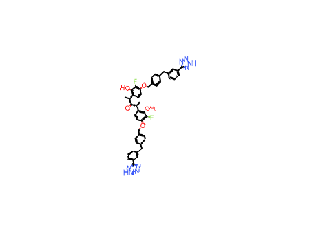 CC(C(=O)C(C)c1ccc(OCc2ccc(Cc3cccc(-c4nn[nH]n4)c3)cc2)c(F)c1O)c1ccc(OCc2ccc(Cc3cccc(-c4nn[nH]n4)c3)cc2)c(F)c1O